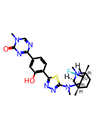 CN(c1nnc(-c2ccc(-c3ncn(C)c(=O)n3)cc2O)s1)[C@H]1[C@H](F)[C@@]2(C)CC[C@]1(C)CN2C